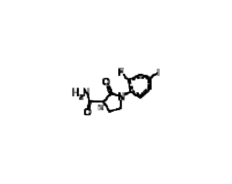 NC(=O)[C@@H]1CCN(c2ccc(I)cc2F)C1=O